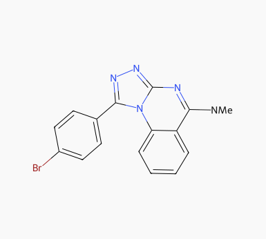 CNc1nc2nnc(-c3ccc(Br)cc3)n2c2ccccc12